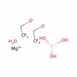 O.OB(O)O.[Mg+2].[O-]CC(F)(F)F.[O-]CC(F)(F)F